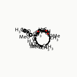 CO[C@H]1C[C@@H]2CC[C@@H](C)[C@@](O)(O2)C(=O)C(=O)N2CCCC[C@H]2C(=O)O[C@H]([C@H](C)C[C@@H]2CC[C@@H](OC(=O)N3CCN(C)CC3)[C@H](OC)C2)CC(=O)[C@H](C)/C=C(\C)[C@@H](O)[C@@H](OC)C(=O)[C@H](C)C[C@H](C)/C=C/C=C/C=C/1C